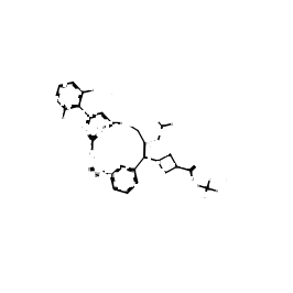 Cc1cccc(C)c1-c1cc2nc(n1)NS(=O)(=O)c1cccc(c1)C(C1CC(C(=O)OC(C)(C)C)C1)[C@H](CC(C)C)CO2